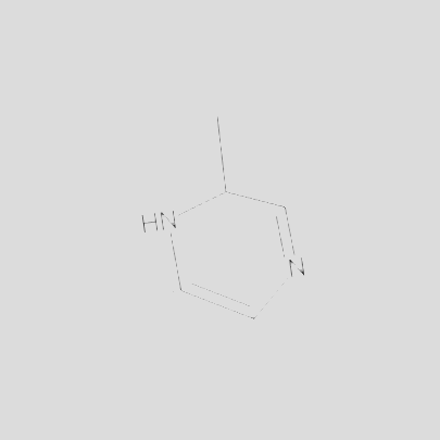 CC1C=NC=[C]N1